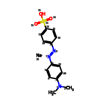 CN(C)c1ccc(N=Nc2ccc(S(=O)(=O)O)cc2)cc1.[Na]